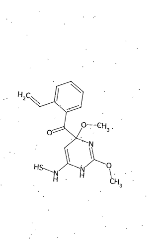 C=Cc1ccccc1C(=O)C1(OC)C=C(NS)NC(OC)=N1